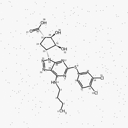 CCCCNc1nc(Sc2ccc(Cl)c(Cl)c2)nc2c1nnn2[C@@H]1C[C@H](C(=O)O)[C@@H](O)[C@H]1O